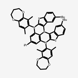 Cc1cc2c(c(C)c1N1c3cc(C(C)C)cc4c3B(c3c1sc1ccc(C(C)(C)C)cc31)c1c(sc3ccc(C(C)(C)C)cc13)N4c1c(C)cc3c(c1C)OCCCO3)OCCCO2